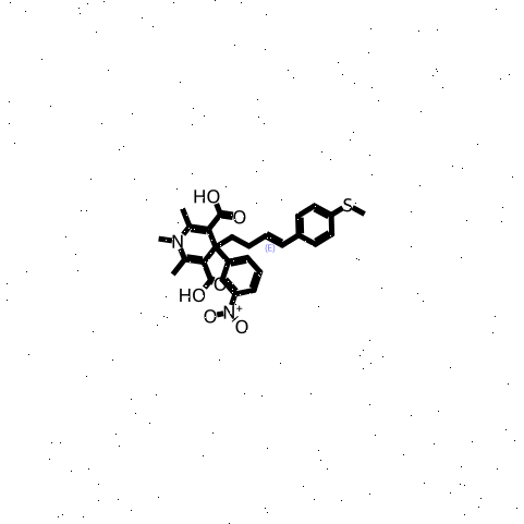 CSc1ccc(/C=C/CCC2(c3cccc([N+](=O)[O-])c3)C(C(=O)O)=C(C)N(C)C(C)=C2C(=O)O)cc1